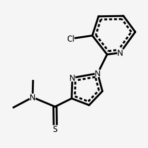 CN(C)C(=S)c1ccn(-c2ncccc2Cl)n1